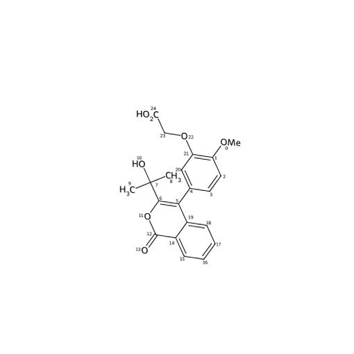 COc1ccc(-c2c(C(C)(C)O)oc(=O)c3ccccc23)cc1OCC(=O)O